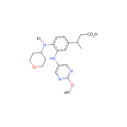 CCCOc1ncc(Nc2cc(C(C)CC(=O)O)ccc2N(CC)C2CCOCC2)cn1